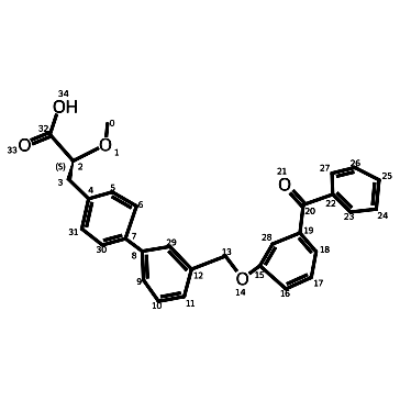 CO[C@@H](Cc1ccc(-c2cccc(COc3cccc(C(=O)c4ccccc4)c3)c2)cc1)C(=O)O